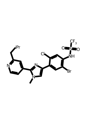 CC(C)Cc1cc(-c2nc(-c3cc(Br)c(NS(=O)(=O)C(F)(F)F)cc3Cl)cn2C)ccn1